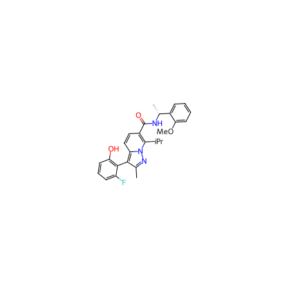 COc1ccccc1[C@@H](C)NC(=O)c1ccc2c(-c3c(O)cccc3F)c(C)nn2c1C(C)C